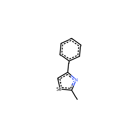 Cc1nc(-c2ccccc2)c[se]1